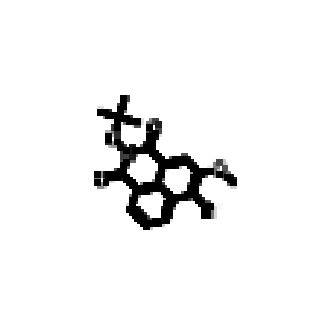 COc1cc2c3c(cccc3c1Br)C(=O)N(OC(C)(C)C)C2=O